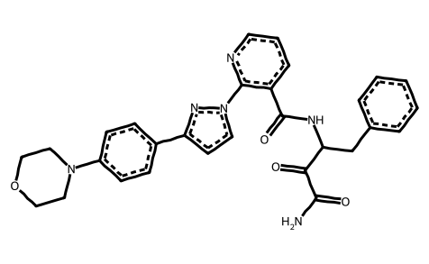 NC(=O)C(=O)C(Cc1ccccc1)NC(=O)c1cccnc1-n1ccc(-c2ccc(N3CCOCC3)cc2)n1